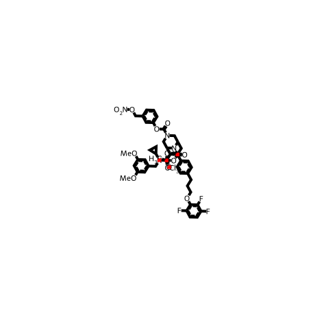 COc1cc(CN(C(=O)C2=C(c3ccc(CCCOc4c(F)ccc(F)c4F)cc3)CC3CN(C(=O)Oc4cccc(CO[N+](=O)[O-])c4)CC2N3C(=O)OC(C)(C)C(Cl)(Cl)Cl)C2CC2)cc(OC)c1